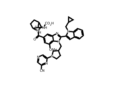 COc1cc(C(=O)N2CC3CCC2[C@@H]3NC(=O)O)cc2nc(-c3cc4ccccc4n3CC3CC3)n(CC3CCN(c4cncc(C#N)n4)C3)c12